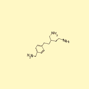 [NH]CCC(CN)CCc1ccc(CN)cc1